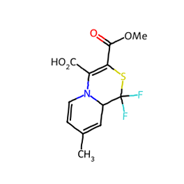 COC(=O)C1=C(C(=O)O)N2C=CC(C)=CC2C(F)(F)S1